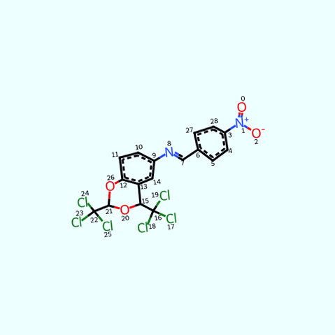 O=[N+]([O-])c1ccc(C=Nc2ccc3c(c2)C(C(Cl)(Cl)Cl)OC(C(Cl)(Cl)Cl)O3)cc1